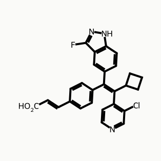 O=C(O)C=Cc1ccc(C(=C(c2ccncc2Cl)C2CCC2)c2ccc3[nH]nc(F)c3c2)cc1